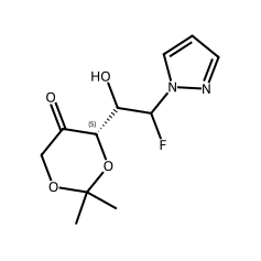 CC1(C)OCC(=O)[C@H](C(O)C(F)n2cccn2)O1